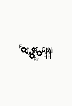 Cc1ccc(-c2cc(Br)ccc2OCc2ccc(F)cc2F)n1-c1cccc(C(=O)Nc2nnn[nH]2)c1